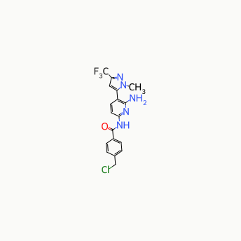 Cn1nc(C(F)(F)F)cc1-c1ccc(NC(=O)c2ccc(CCl)cc2)nc1N